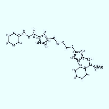 CNC(Oc1nnc(CCCCCc2nnc(NCOC3CCCCC3)s2)s1)C1CCCCC1